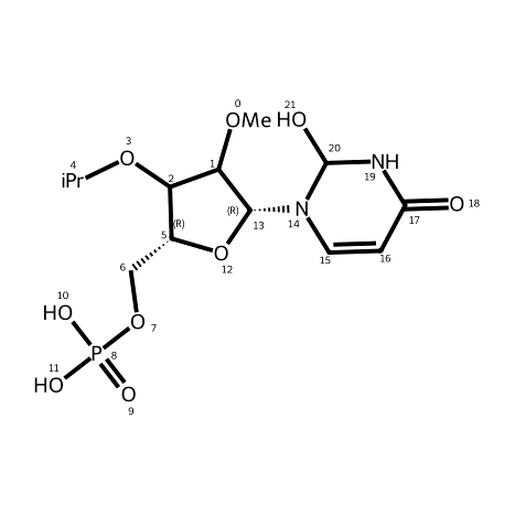 COC1C(OC(C)C)[C@@H](COP(=O)(O)O)O[C@H]1N1C=CC(=O)NC1O